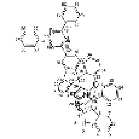 CC1(C)c2ccccc2-c2c(-c3ccccc3)nc(-c3cccc4c3C3(c5ccccc5Oc5ccccc53)c3ccc(-c5nc(-c6ccccc6)nc(-c6ccccc6)n5)cc3-4)nc21